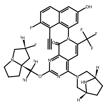 [2H]C([2H])(Oc1nc(N2C[C@H]3CC[C@@H](C2)N3)c2cc(C(F)(F)F)n(-c3cc(O)cc4ccc(F)c(C#C)c34)c(=O)c2n1)[C@@]12CCCN1C[C@]([2H])(F)C2